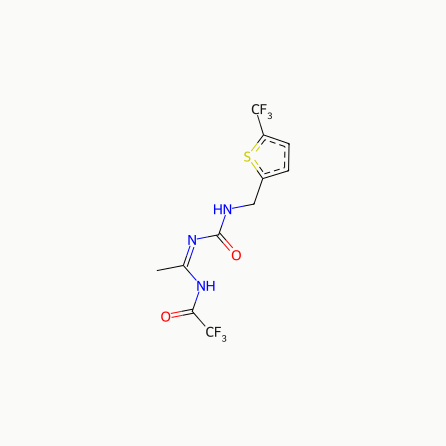 C/C(=N/C(=O)NCc1ccc(C(F)(F)F)s1)NC(=O)C(F)(F)F